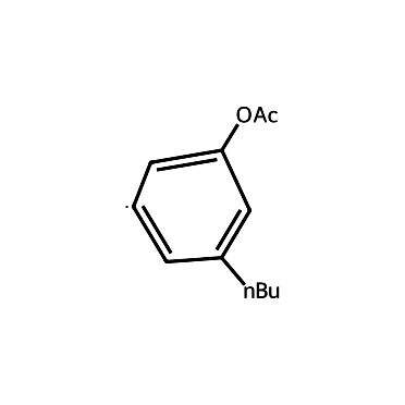 CCCCc1c[c]cc(OC(C)=O)c1